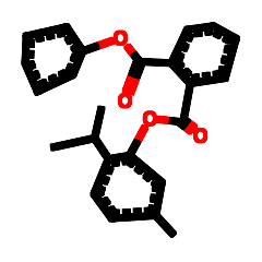 Cc1ccc(C(C)C)c(OC(=O)c2ccccc2C(=O)Oc2ccccc2)c1